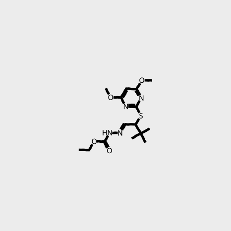 CCOC(=O)N/N=C/C(Sc1nc(OC)cc(OC)n1)C(C)(C)C